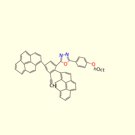 C#Cc1cc(-c2ccc3ccc4cccc5ccc2c3c45)cc(-c2nnc(-c3ccc(OCCCCCCCC)cc3)o2)c1-c1ccc2ccc3cccc4ccc1c2c34